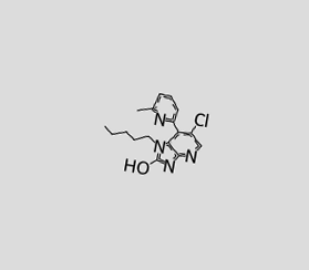 CCCCCn1c(O)nc2ncc(Cl)c(-c3cccc(C)n3)c21